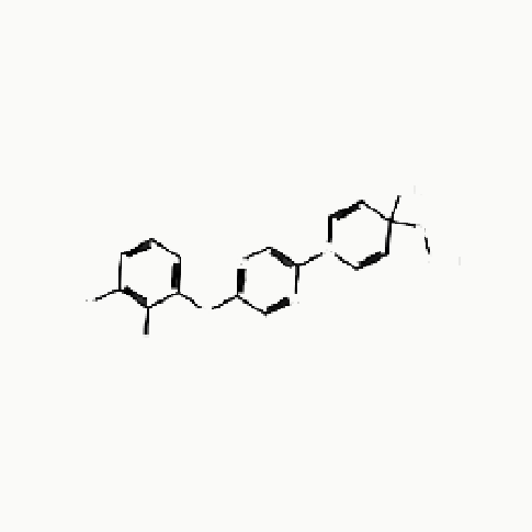 CC1(NC(=O)O)C=CN(c2cnc(Sc3cccc(N)c3Cl)cn2)C=C1